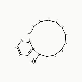 BC1CCCCCCCCCCCc2ccccc21